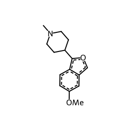 COc1ccc2c(C3CCN(C)CC3)occ2c1